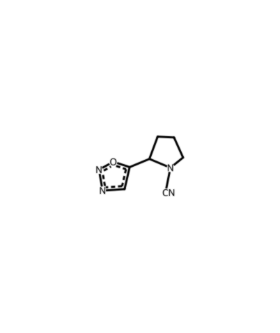 N#CN1CCCC1c1cnno1